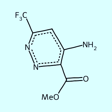 COC(=O)c1nnc(C(F)(F)F)cc1N